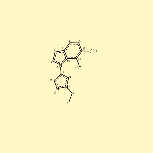 CCn1cc(-n2ccc3ccc(Cl)c(F)c32)cn1